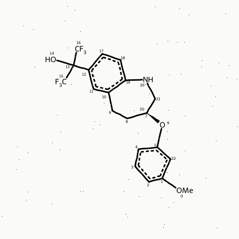 COc1cccc(O[C@H]2CCc3cc(C(O)(C(F)(F)F)C(F)(F)F)ccc3NC2)c1